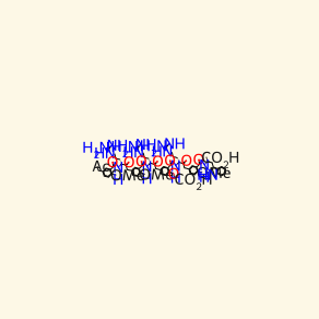 COc1ccc(CC(=O)[C@@H](CCCNC(=N)N)NC(=O)c2cc(CC(=O)[C@@H](CCCNC(=N)N)NC(=O)c3cc(CC(=O)[C@@H](CCCNC(=N)N)NC(=O)c4cc(CC(C)=O)ccc4OC)ccc3OC)ccc2OCC(=O)O)cc1C(=O)N[C@H](Cc1c[nH]c2ccccc12)C(=O)O